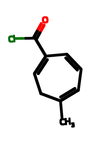 CC1=CC=CC(C(=O)Cl)=CC1